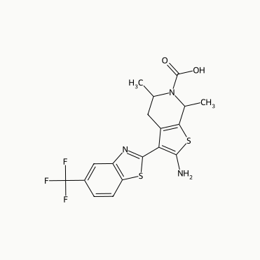 CC1Cc2c(sc(N)c2-c2nc3cc(C(F)(F)F)ccc3s2)C(C)N1C(=O)O